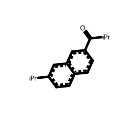 CC(C)C(=O)c1ccc2ccc(C(C)C)cc2c1